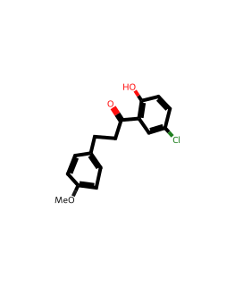 COc1ccc(CCC(=O)c2cc(Cl)ccc2O)cc1